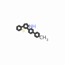 Cc1ccc(-c2ccc3c(c2)[nH]c2ccc4c5ccccc5sc4c23)cc1